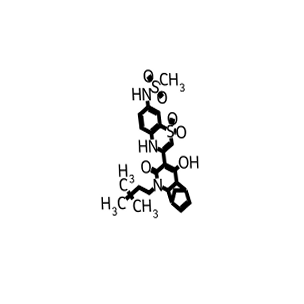 CC(C)(C)CCN1C(=O)C(C2=CS(=O)(=O)c3cc(NS(C)(=O)=O)ccc3N2)=C(O)C2C3C=CC(C3)C21